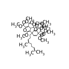 COC(=O)C=C(C(=O)OC)C1(C(=O)OC)C=CC(CCC=C(C)CCC=C(C)C)(C2=C(OC)OC(C(=O)OC)=C(C(=O)OC)C2C(=O)OC)C=C1C(=O)OC